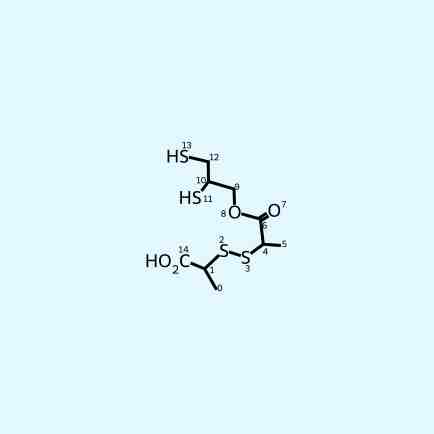 CC(SSC(C)C(=O)OCC(S)CS)C(=O)O